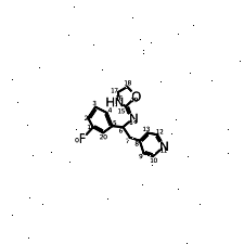 Fc1cccc(C(Cc2ccncc2)/N=C2\NCCO2)c1